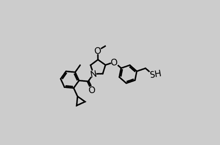 COC1CN(C(=O)c2c(C)cccc2C2CC2)CC1Oc1cccc(CS)c1